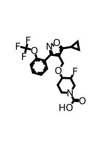 O=C(O)N1CCC(OCc2c(-c3ccccc3OC(F)(F)F)noc2C2CC2)C(F)C1